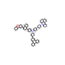 c1ccc(N(c2ccc(-c3ccc(N(c4ccc(-c5ccc6c7ccccc7c7ccccc7c6c5)cc4)c4ccc(-c5ccc(-c6ccc7oc8ccccc8c7c6)c6ccccc56)cc4)cc3)cc2)c2cccc3ccccc23)cc1